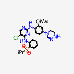 COc1cc(N2C=NNCC2)ccc1Nc1ncc(Cl)c(Nc2ccccc2S(=O)(=O)C(C)C)n1